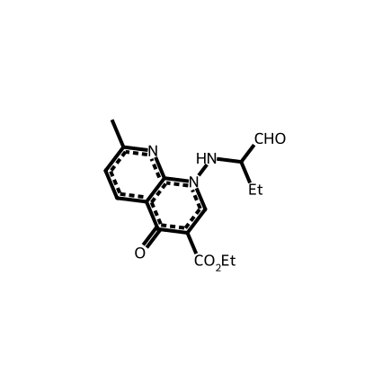 CCOC(=O)c1cn(NC(C=O)CC)c2nc(C)ccc2c1=O